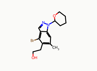 Cc1cc2c(cnn2C2CCCCO2)c(Br)c1CCO